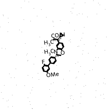 COc1ccc(F)c(-c2ccc([C@H]3COc4ccc([C@H](C5CC5)[C@H](C)C(=O)O)cc4N3C)cc2)c1